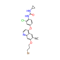 [C-]#[N+]c1cc2c(Oc3ccc(NC(=O)NC4CC4)c(Cl)c3)ccnc2cc1OCCCBr